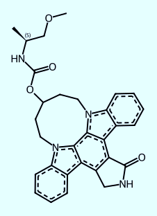 COC[C@H](C)NC(=O)OC1CCn2c3ccccc3c3c4c(c5c6ccccc6n(c5c32)CC1)C(=O)NC4